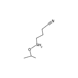 CC(C)O[SiH2]CCCC#N